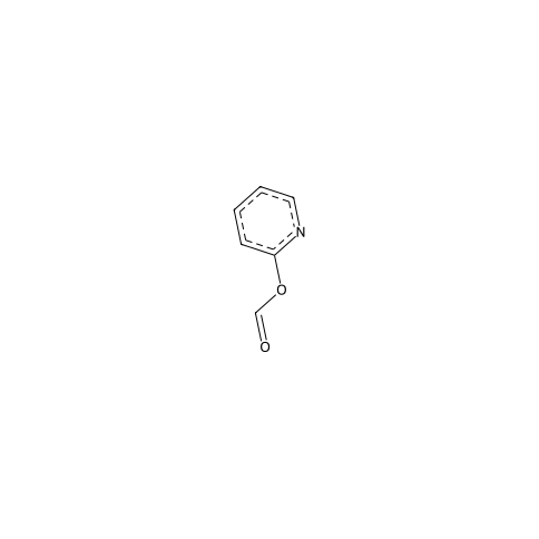 O=COc1ccccn1